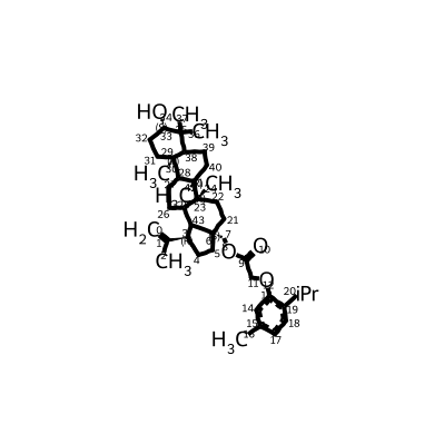 C=C(C)[C@@H]1CC[C@]2(COC(=O)COc3cc(C)ccc3C(C)C)CC[C@]3(C)C(CCC4[C@@]5(C)CC[C@H](O)C(C)(C)C5CC[C@]43C)C12